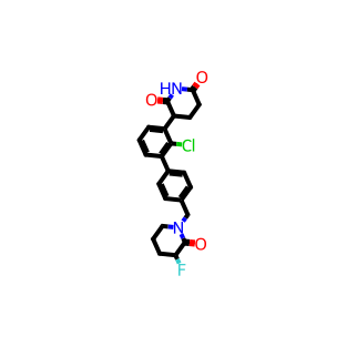 O=C1CCC(c2cccc(-c3ccc(CN4CCCC(F)C4=O)cc3)c2Cl)C(=O)N1